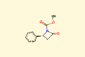 CC(C)(C)OC(=O)N1C(=O)C[C@H]1c1ccccc1